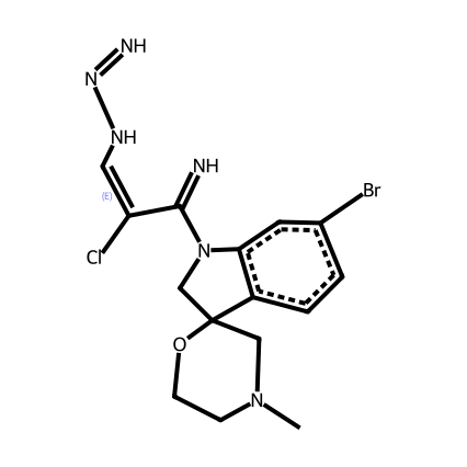 CN1CCOC2(C1)CN(C(=N)/C(Cl)=C\NN=N)c1cc(Br)ccc12